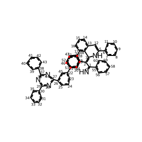 N=C(/C(=C1\NC(c2ccccc2)=Cc2cccc(-c3ccc(-c4cccc(-c5nc(-c6ccccc6)nc(-c6ccccc6)n5)c4)cc3)c21)c1ccccc1)c1ccccc1